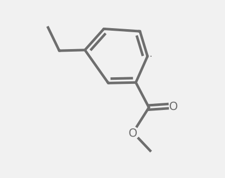 CCc1cc[c]c(C(=O)OC)c1